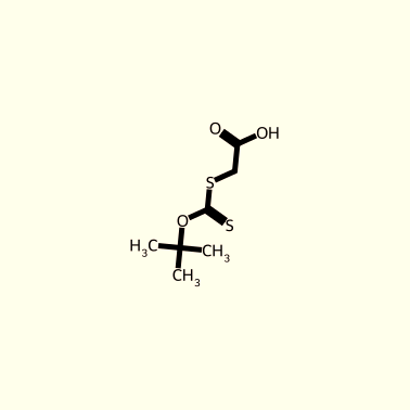 CC(C)(C)OC(=S)SCC(=O)O